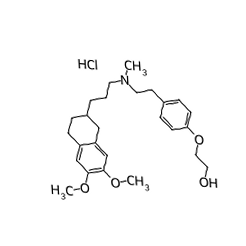 COc1cc2c(cc1OC)CC(CCCN(C)CCc1ccc(OCCO)cc1)CC2.Cl